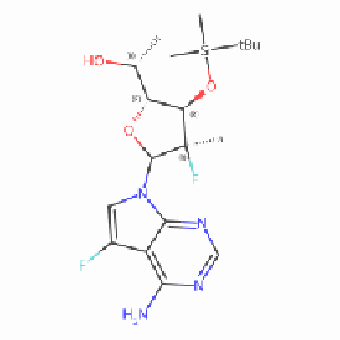 C[C@@H](O)[C@H]1OC(n2cc(F)c3c(N)ncnc32)[C@](C)(F)[C@@H]1O[Si](C)(C)C(C)(C)C